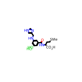 CSCCC(NC(=O)c1cccc(NCc2c[nH]cn2)c1)C(=O)O.Cl.Cl